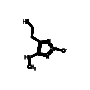 CNc1n[s+]([O-])nc1CCS